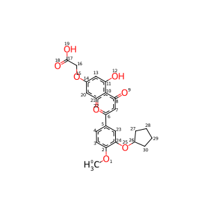 COc1ccc(-c2cc(=O)c3c(O)cc(OCC(=O)O)cc3o2)cc1OC1CCCC1